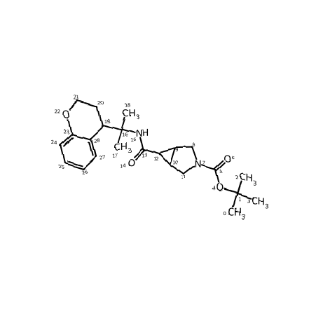 CC(C)(C)OC(=O)N1CC2C(C1)C2C(=O)NC(C)(C)C1CCOc2ccccc21